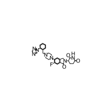 O=C1CCC(N2Cc3cc(N4CCN(Cc5ccccc5-n5cncn5)CC4)c(F)cc3C2=O)C(=O)N1